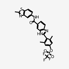 Cc1nc2cc(NC(=O)c3ccc4nc(-c5c(C)cc(OS(=O)(=O)C(F)(F)F)cc5C)[nH]c4c3)ccc2s1